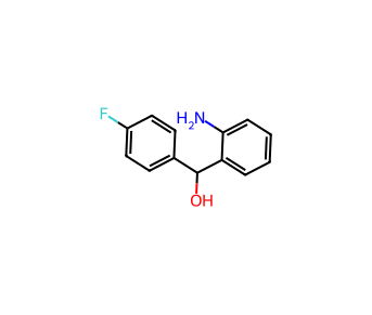 Nc1ccccc1C(O)c1ccc(F)cc1